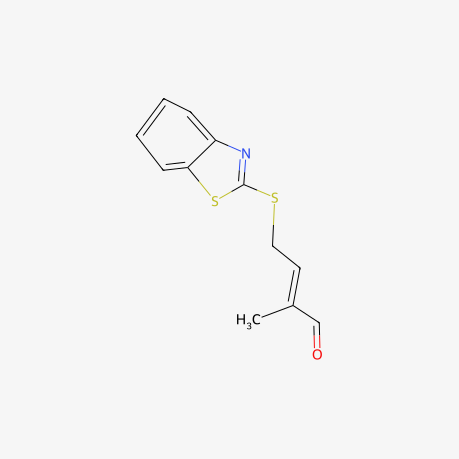 C/C(C=O)=C\CSc1nc2ccccc2s1